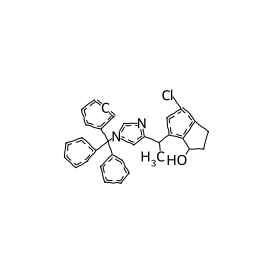 CC(c1cn(C(c2ccccc2)(c2ccccc2)c2ccccc2)cn1)c1cc(Cl)cc2c1C(O)CC2